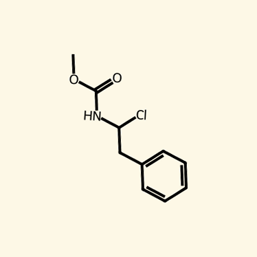 COC(=O)NC(Cl)Cc1ccccc1